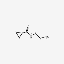 CC(C)(C)CCNC(=O)C1CC1